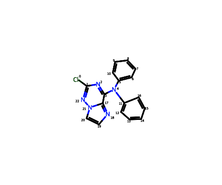 Clc1nc(N(c2ccccc2)c2ccccc2)c2nccn2n1